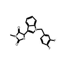 CN1C(=O)SC(c2cn(Cc3ccc(F)c(F)c3)c3ccccc23)C1=O